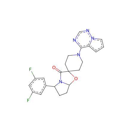 O=C1N2C(CCC2c2cc(F)cc(F)c2)OC12CCN(c1ncnn3cccc13)CC2